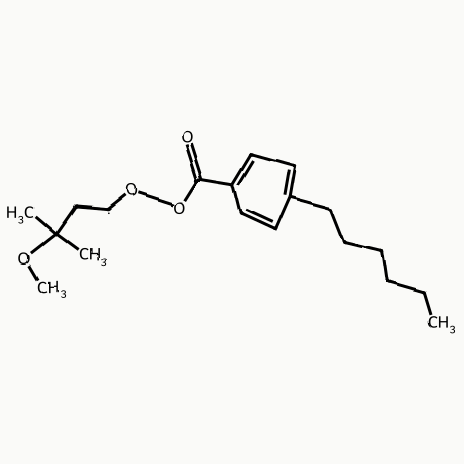 CCCCCCc1ccc(C(=O)OO[CH]CC(C)(C)OC)cc1